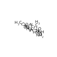 Cc1ccc(S(=O)(=O)n2cc(C(C)C)c3cc(Cc4c(C)cc(N5NC(N)C(=O)NC5=O)cc4C)ncc32)cc1